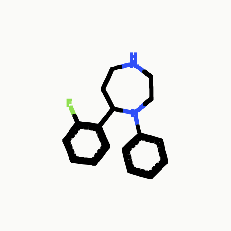 Fc1ccccc1C1CCNCCN1c1ccccc1